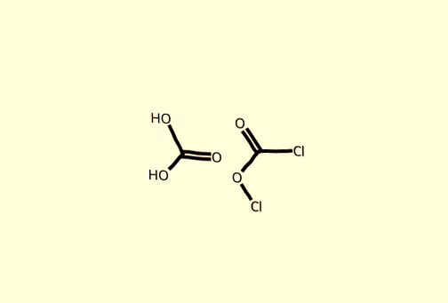 O=C(Cl)OCl.O=C(O)O